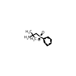 CC(C)(N)CS(=O)(=O)c1ccccc1